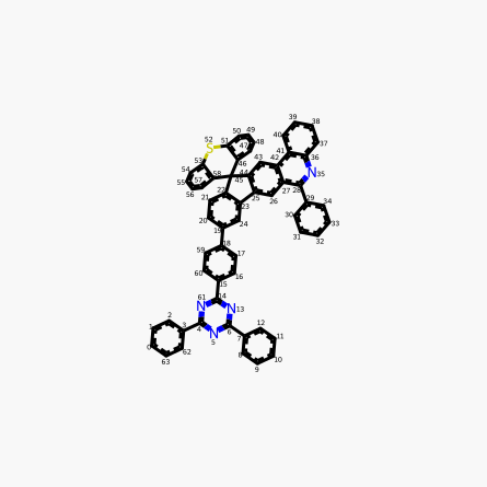 c1ccc(-c2nc(-c3ccccc3)nc(-c3ccc(-c4ccc5c(c4)-c4cc6c(-c7ccccc7)nc7ccccc7c6cc4C54c5ccccc5Sc5ccccc54)cc3)n2)cc1